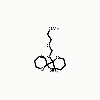 COCCOC[SiH2]C1(C2([SiH3])CCCCO2)CCCCO1